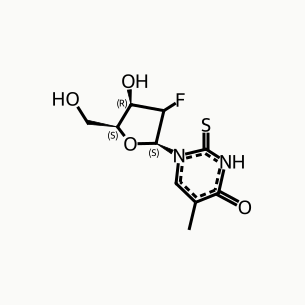 Cc1cn([C@H]2O[C@@H](CO)[C@@H](O)C2F)c(=S)[nH]c1=O